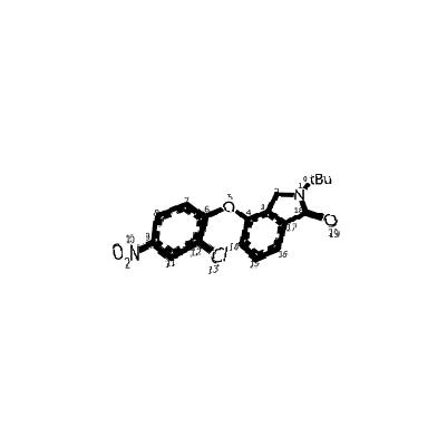 CC(C)(C)N1Cc2c(Oc3ccc([N+](=O)[O-])cc3Cl)cccc2C1=O